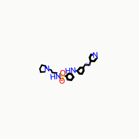 O=S(=O)(NCCCN1CCCCC1)c1cccc(Nc2cccc(/C=C/c3ccncc3)c2)c1